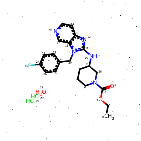 CCOC(=O)N1CCCC(Nc2nc3ccncc3n2Cc2ccc(F)cc2)C1.Cl.Cl.O